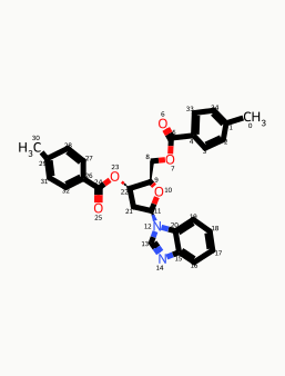 Cc1ccc(C(=O)OC[C@H]2O[C@@H](n3cnc4ccccc43)C[C@@H]2OC(=O)c2ccc(C)cc2)cc1